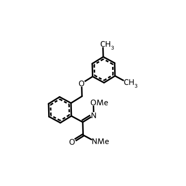 CNC(=O)/C(=N/OC)c1ccccc1COc1cc(C)cc(C)c1